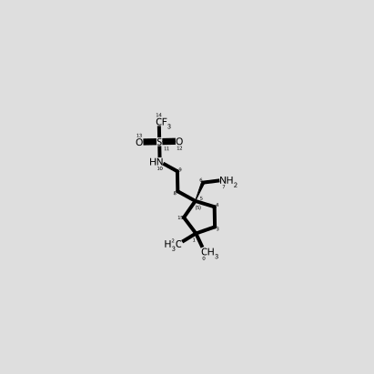 CC1(C)CC[C@@](CN)(CCNS(=O)(=O)C(F)(F)F)C1